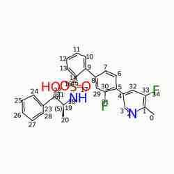 Cc1ncc(-c2ccc(-c3ccccc3S(=O)(=O)N[C@@H](C)[C@@H](O)c3ccccc3)cc2F)cc1F